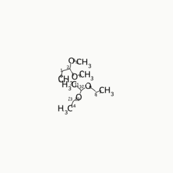 CCC(OC)OC.CCOC(C)OCC